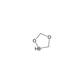 B1COCO1